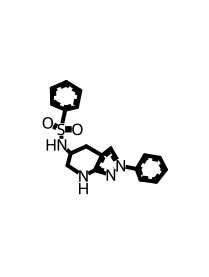 O=S(=O)(NC1CNc2nn(-c3ccccc3)cc2C1)c1ccccc1